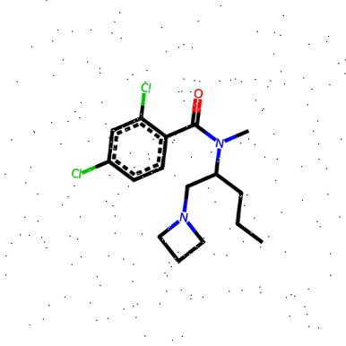 CCCC(CN1CCC1)N(C)C(=O)c1ccc(Cl)cc1Cl